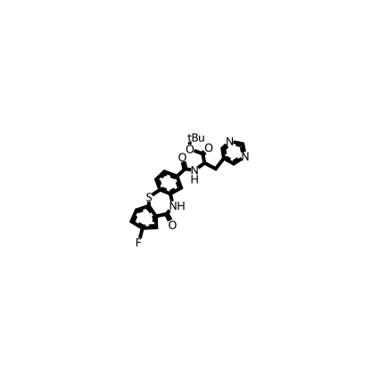 CC(C)(C)OC(=O)C(Cc1cncnc1)NC(=O)c1ccc2c(c1)NC(=O)c1cc(F)ccc1S2